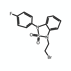 O=S1(=O)N(CCBr)c2ccccc2N1c1ccc(F)cc1